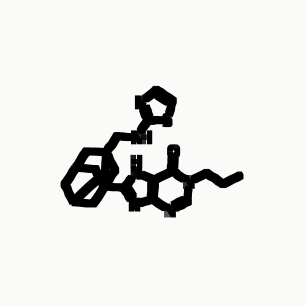 CCCn1cnc2nc(C34CC5CC(CC(CNc6nccs6)(C5)C3)C4)[nH]c2c1=O